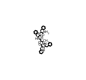 CC(NC(=O)[C@H](Cc1ccccn1)NC(=O)Cc1ccccc1)C(=O)C(=O)N[C@@H](Cc1ccccc1)C(=O)N[C@@H](Cc1ccccc1)C(N)=O